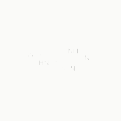 O=C1CCC(Nc2ncccn2)C(=O)N1